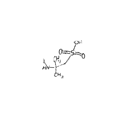 CC(C)(CS(=O)(=O)O)NI